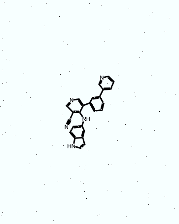 N#Cc1cncc(-c2cccc(-c3cccnc3)c2)c1Nc1ccc2[nH]ccc2c1